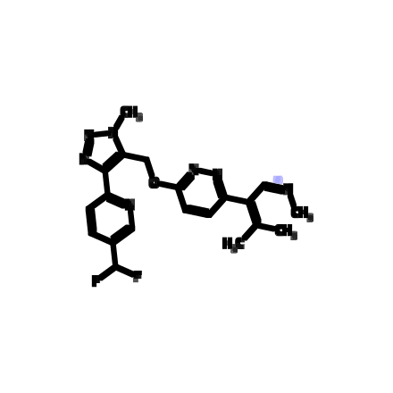 C/N=C\C(=C(C)C)c1ccc(OCc2c(-c3ccc(C(F)F)cn3)nnn2C)nn1